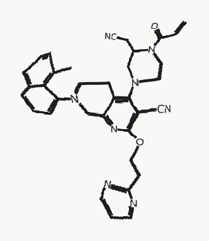 C=CC(=O)N1CCN(c2c(C#N)c(OCCc3ncccn3)nc3c2CCN(c2cccc4cccc(C)c24)C3)CC1CC#N